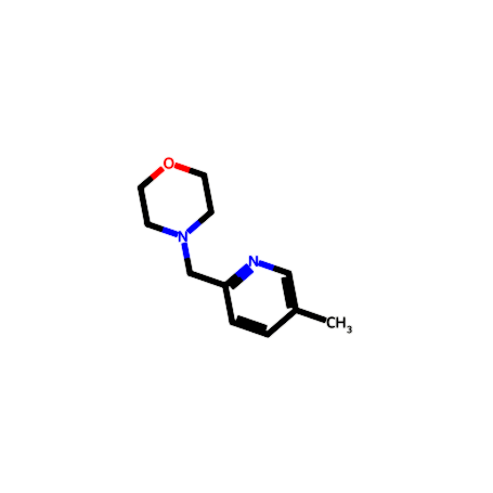 Cc1ccc(CN2CCOCC2)nc1